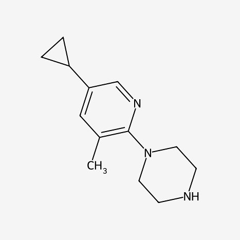 Cc1cc(C2CC2)cnc1N1CCNCC1